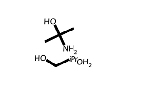 CC(C)(N)O.CC(C)CO.O